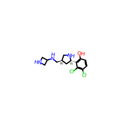 Oc1ccc(Cl)c(Cl)c1[C@@H]1C[C@@H](CNC2CNC2)CN1